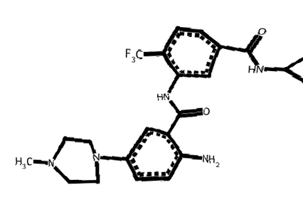 CN1CCN(c2ccc(N)c(C(=O)Nc3cc(C(=O)NC4CC4)ccc3C(F)(F)F)c2)CC1